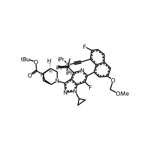 C=C(C)c1nc(-c2cc(OCOC)cc3ccc(F)c(C#C[Si](C(C)C)(C(C)C)C(C)C)c23)c(F)c2c1c(N1C[C@H]3CCC1CN3C(=O)OC(C)(C)C)nn2C1CC1